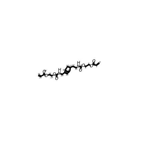 C=CC(=O)OCCOC(=O)NCCC1CC2CC1CC2CNC(=O)OCCOC(=O)C=C